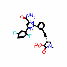 CN1C[C@@H](C#Cc2cccc(-c3nc(C(N)=O)cc(-c4cc(F)ccc4F)n3)c2)[C@H](O)C1=O